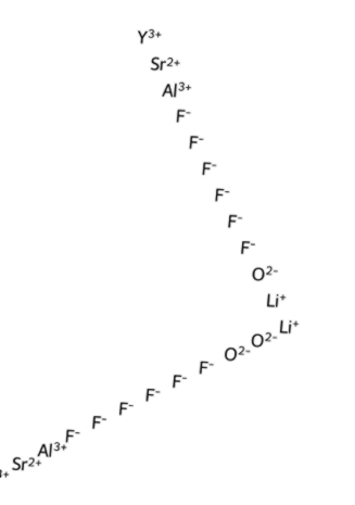 [Al+3].[Al+3].[F-].[F-].[F-].[F-].[F-].[F-].[F-].[F-].[F-].[F-].[F-].[F-].[Li+].[Li+].[O-2].[O-2].[O-2].[Sr+2].[Sr+2].[Y+3].[Y+3]